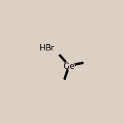 Br.[CH3][Ge]([CH3])[CH3]